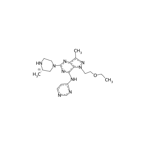 CCOCCn1nc(C)c2nc(N3CCN[C@@H](C)C3)nc(Nc3ccncn3)c21